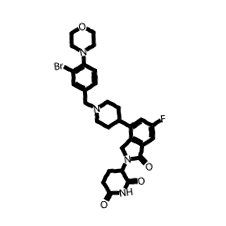 O=C1CCC(N2Cc3c(cc(F)cc3C3CCN(Cc4ccc(N5CCOCC5)c(Br)c4)CC3)C2=O)C(=O)N1